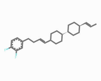 C/C=C/[C@H]1CC[C@H](C2CCC(/C=C/CCc3ccc(F)c(F)c3)CC2)CC1